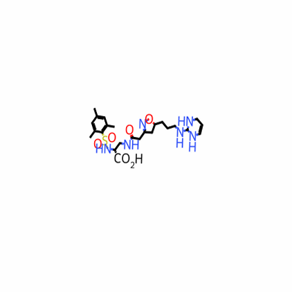 Cc1cc(C)c(S(=O)(=O)NC(CNC(=O)CC2=NOC(CCCNC3NC=CCN3)C2)C(=O)O)c(C)c1